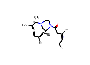 CCC=C(C=C=C(C)[C@H](C)N1CCN(C(=O)C/C(=C\CC#N)CC)CC1)CC